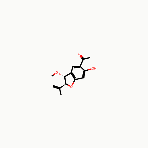 C=C(C)[C@@H]1Oc2cc(O)c(C(C)=O)cc2[C@H]1OC